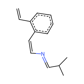 C=Cc1ccccc1/C=C\N=C\C(C)C